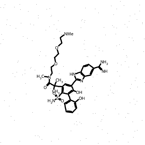 CNCCOCCOCCN(C)C(=O)C(C)(C)c1cc(-c2nc3cc(C(=N)N)ccc3[nH]2)c(O)c(-c2ccccc2O)c1S(N)(=O)=O